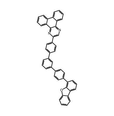 c1cc(-c2ccc(-c3cnc4c5ccccc5c5ccccc5c4n3)cc2)cc(-c2ccc(-c3cccc4c3oc3ccccc34)cc2)c1